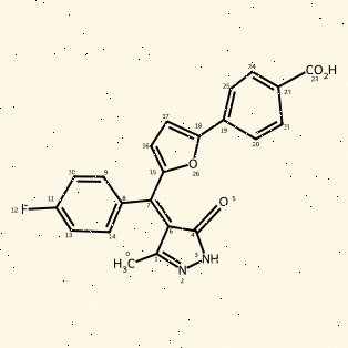 CC1=NNC(=O)C1=C(c1ccc(F)cc1)c1ccc(-c2ccc(C(=O)O)cc2)o1